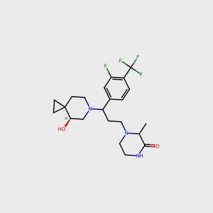 CC1C(=O)NCCN1CCC(c1ccc(C(F)(F)F)c(F)c1)N1CCC2(CC2)[C@H](O)C1